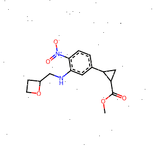 COC(=O)C1CC1c1ccc([N+](=O)[O-])c(NCC2CCO2)c1